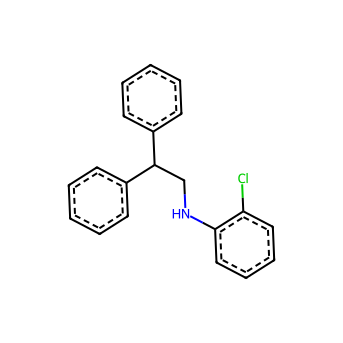 Clc1ccccc1NCC(c1ccccc1)c1ccccc1